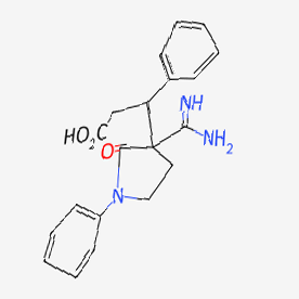 N=C(N)C1(C(CC(=O)O)c2ccccc2)CCN(c2ccccc2)C1=O